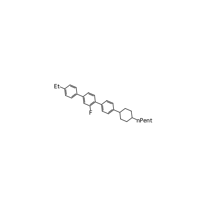 CCCCCC1CCC(c2ccc(-c3ccc(-c4ccc(CC)cc4)cc3F)cc2)CC1